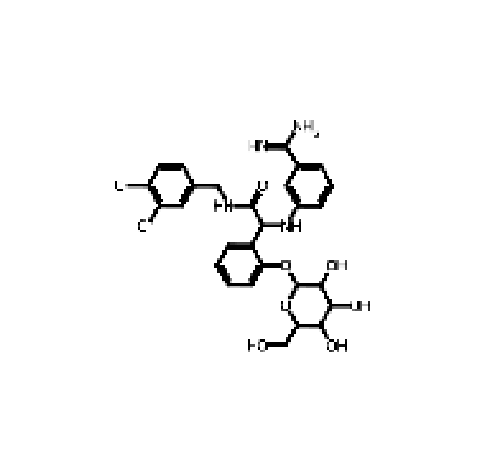 N=C(N)c1cccc(NC(C(=O)NCc2ccc(Cl)c(Cl)c2)c2ccccc2OC2OC(CO)C(O)C(O)C2O)c1